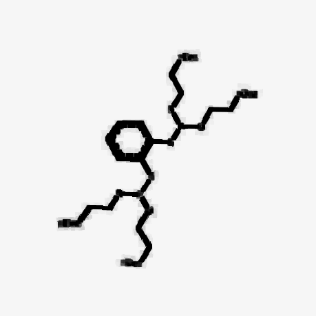 CCCCCCCCCCCCOP(SCCCCCCCCCCCC)Sc1ccccc1SP(OCCCCCCCCCCCC)SCCCCCCCCCCCC